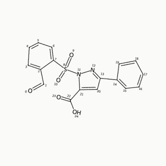 O=Cc1ccccc1S(=O)(=O)n1nc(-c2ccccc2)cc1C(=O)O